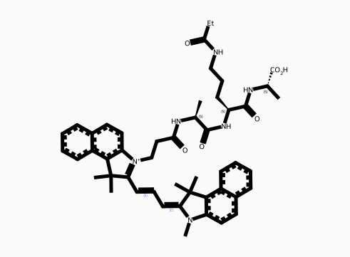 CCC(=O)NCCC[C@H](NC(=O)[C@H](C)NC(=O)CC[N+]1=C(/C=C/C=C2/N(C)c3ccc4ccccc4c3C2(C)C)C(C)(C)c2c1ccc1ccccc21)C(=O)N[C@@H](C)C(=O)O